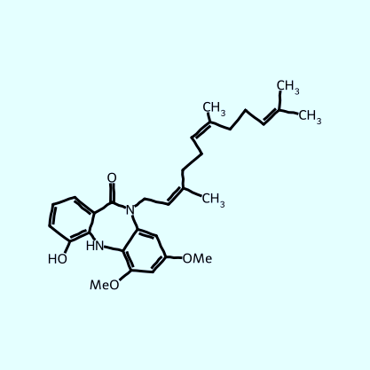 COc1cc(OC)c2c(c1)N(CC=C(C)CCC=C(C)CCC=C(C)C)C(=O)c1cccc(O)c1N2